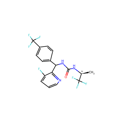 C[C@H](NC(=O)NC(c1ccc(C(F)(F)F)cc1)c1ncccc1F)C(F)(F)F